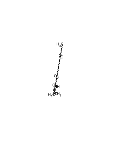 CCCCCCCCCCOC(=O)CCCCCCCCCCCCCCCCC(=O)OCCCCCOC(=O)NCCOCCN(C)C